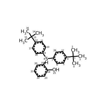 CC(C)(C)c1ccc([SH](c2ccc(C(C)(C)C)cc2)c2ccccc2O)cc1